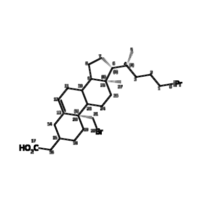 CC(C)CCC[C@@H](C)[C@H]1CCC2C3CC=C4CC(CC(=O)O)CC[C@]4(CBr)C3CC[C@@]21C